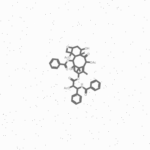 CC(=O)OC1C(=O)C2(C)C(O)CC3OCC3(OC(C)=O)C2C(OC(=O)c2ccccc2)C2(O)CC(OC(=O)C(OC(C)=O)C(NC(=O)c3ccccc3)c3ccccc3)C(C)=C1C2(C)C